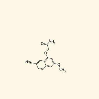 COc1cc(OCC(N)=O)c2cc(C#N)ccc2c1